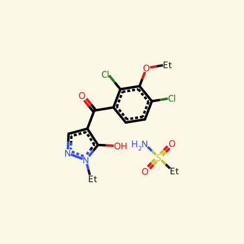 CCOc1c(Cl)ccc(C(=O)c2cnn(CC)c2O)c1Cl.CCS(N)(=O)=O